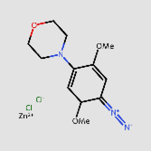 COC1=CC(=[N+]=[N-])C(OC)C=C1N1CCOCC1.[Cl-].[Cl-].[Zn+2]